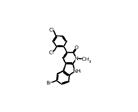 Cn1c(=O)c(-c2ccc(Cl)cc2Cl)cc2c3cc(Br)ccc3[nH]c21